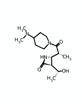 C[C@@H](O)[C@H]1C(=O)N[C@@H]1[C@@H](C)C(=O)N1CCC(N(C)C)CC1